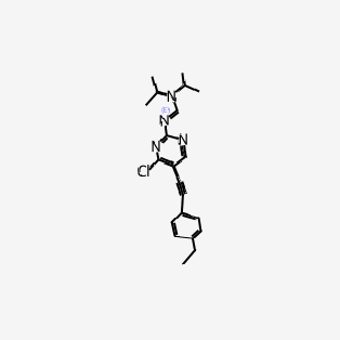 CCc1ccc(C#Cc2cnc(/N=C/N(C(C)C)C(C)C)nc2Cl)cc1